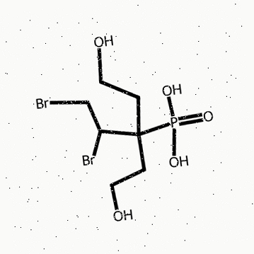 O=P(O)(O)C(CCO)(CCO)C(Br)CBr